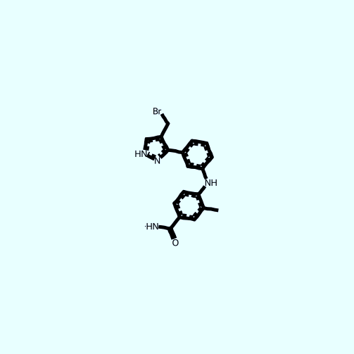 Cc1cc(C([NH])=O)ccc1Nc1cccc(-c2n[nH]cc2CBr)c1